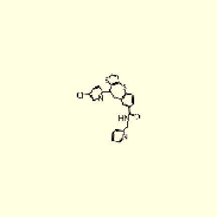 O=C(NCc1ccccn1)c1ccc2c(c1)N=C(c1ccc(Cl)cn1)c1sccc1S2